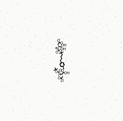 COC(=O)C[C@@H](C(O)O)N(C)C(=O)OC(C)(C)CCCCc1ccc(COC(O)[C@H](CC(=O)OC)N(C)C(=O)OC(C)(C)C)cc1